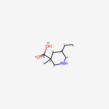 CCC1CNCC(C)(C(=O)O)C1